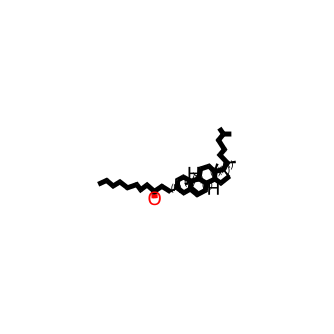 CCCCCCCCC(=O)CC[C@H]1CC[C@@]2(C)C(=CC[C@H]3C4CC[C@H]([C@H](C)CCCC(C)C)[C@@]4(C)CC[C@@H]32)C1